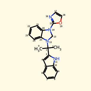 CC(C)(c1cc2ccccc2[nH]1)N1CN(c2ncco2)c2ccccc21